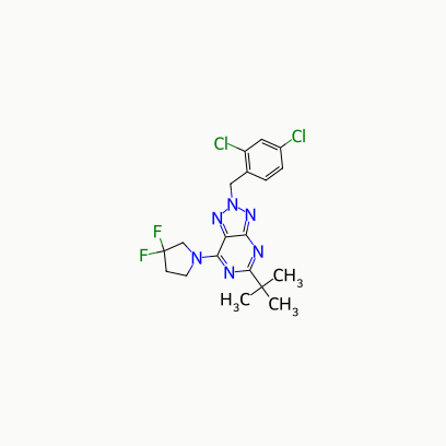 CC(C)(C)c1nc(N2CCC(F)(F)C2)c2nn(Cc3ccc(Cl)cc3Cl)nc2n1